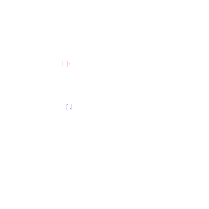 OC1NC2(CC2)c2ccccc21